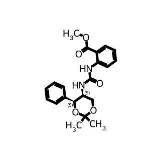 COC(=O)c1ccccc1NC(=O)N[C@H]1COC(C)(C)O[C@H]1c1ccccc1